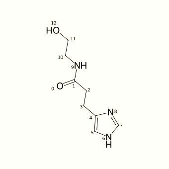 O=C(CCc1c[nH]cn1)NCCO